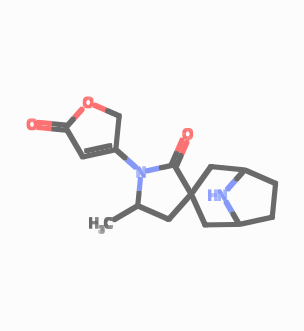 CC1CC2(CC3CCC(C2)N3)C(=O)N1C1=CC(=O)OC1